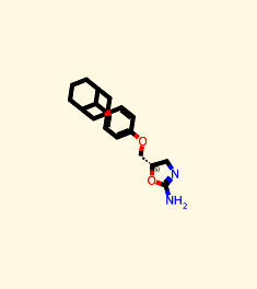 NC1=NC[C@@H](COc2ccc(C3C4CCCC3CCC4)cc2)O1